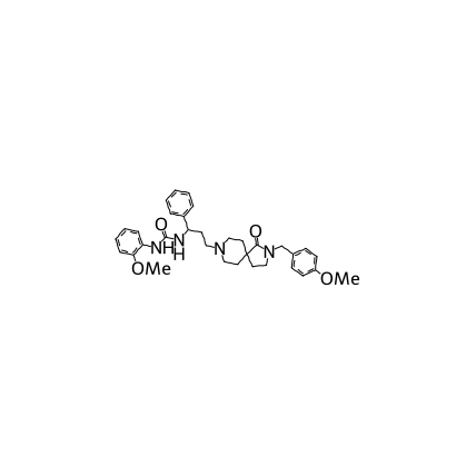 COc1ccc(CN2CCC3(CCN(CCC(NC(=O)Nc4ccccc4OC)c4ccccc4)CC3)C2=O)cc1